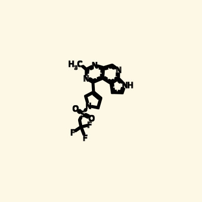 Cc1nc(C2=CCN(S(=O)(=O)CC(F)(F)F)C2)c2c(cnc3[nH]ccc32)n1